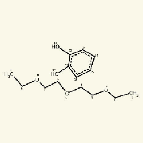 CCOCCOCCOCC.Oc1ccccc1O